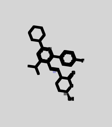 CC(C)c1cc(C2CCCCC2)nc(-c2ccc(F)cc2)c1/C=C/C1CC[C@@H](O)OC1=O